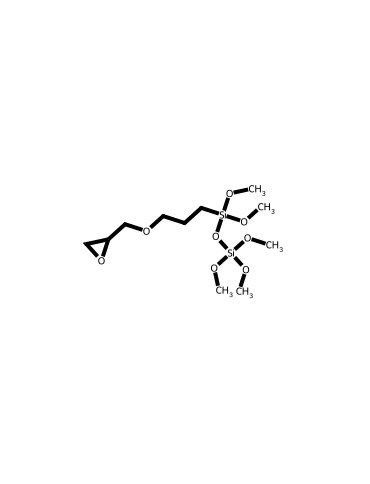 CO[Si](CCCOCC1CO1)(OC)O[Si](OC)(OC)OC